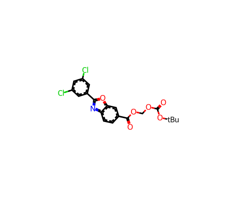 CC(C)(C)OC(=O)OCOC(=O)c1ccc2nc(-c3cc(Cl)cc(Cl)c3)oc2c1